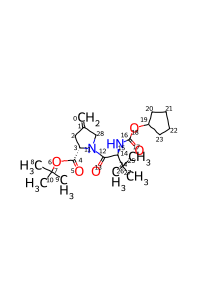 C=C1C[C@@H](C(=O)OC(C)(C)C)N(C(=O)[C@@H](NC(=O)OC2CCCC2)C(C)(C)C)C1